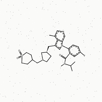 Cc1cncc2c1c(C[C@H]1CCN(CC3CCS(=O)(=O)CC3)C1)cn2-c1ccc(F)cc1C(=O)N(C)C(C)C